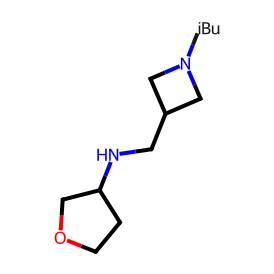 CCC(C)N1CC(CNC2CCOC2)C1